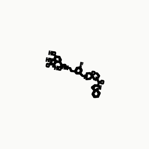 O=C(c1ccc2ccccc2n1)N1CCOC2(CCN(Cc3cc(F)cc(CCNCC(O)c4ccc(O)c5[nH]c(=O)sc45)c3)CC2)C1